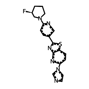 F[C@H]1CCCN(c2ccc(-c3nc4nc(-n5ccnc5)ccc4s3)cn2)C1